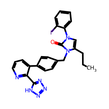 CCCc1cn(-c2ccccc2I)c(=O)n1Cc1ccc(-c2cccnc2-c2nnn[nH]2)cc1